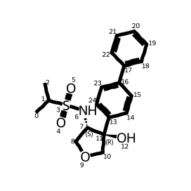 CC(C)S(=O)(=O)N[C@H]1COC[C@@]1(O)c1ccc(-c2ccccc2)cc1